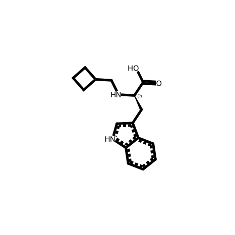 O=C(O)[C@@H](Cc1c[nH]c2ccccc12)NCC1CCC1